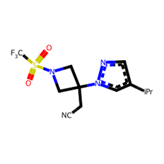 CC(C)c1cnn(C2(CC#N)CN(S(=O)(=O)C(F)(F)F)C2)c1